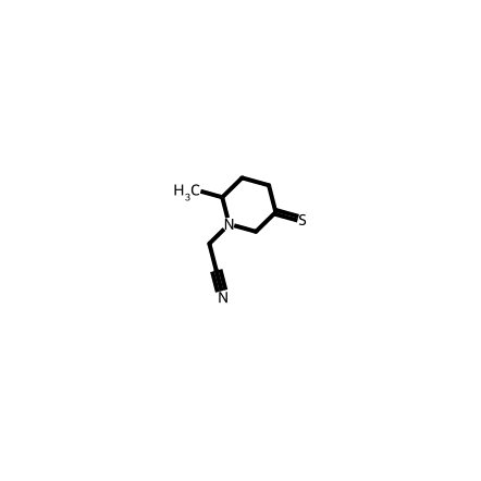 CC1CCC(=S)CN1CC#N